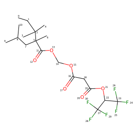 CCC(C)(C)C(C)(CC(C)C)C(=O)OCOC(=O)CC(=O)OC(C(F)(F)F)C(F)(F)F